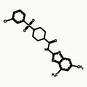 Cc1cc(C)c2sc(NC(=O)C3CCN(S(=O)(=O)c4cccc(Cl)c4)CC3)nc2c1